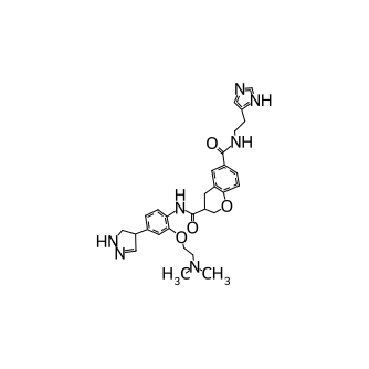 CN(C)CCOc1cc(C2C=NNC2)ccc1NC(=O)C1COc2ccc(C(=O)NCCc3cnc[nH]3)cc2C1